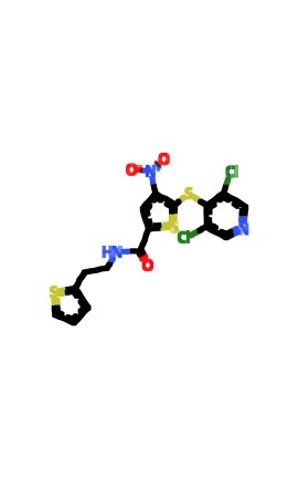 O=C(NCCc1cccs1)c1cc([N+](=O)[O-])c(Sc2c(Cl)cncc2Cl)s1